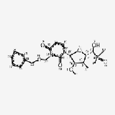 CO[C@@H]1[C@H](C)[C@@H](C(O)P(C)(C)=O)O[C@H]1n1ccc(=O)n(COCc2ccccc2)c1=O